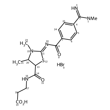 Br.CNC(=N)c1ccc(C(=O)N=C2SC(C(=O)NCCC(=O)O)C(C)N2C)cc1